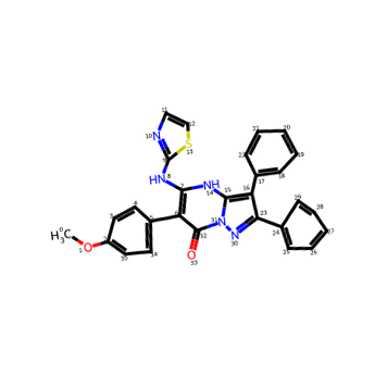 COc1ccc(-c2c(Nc3nccs3)[nH]c3c(-c4ccccc4)c(-c4ccccc4)nn3c2=O)cc1